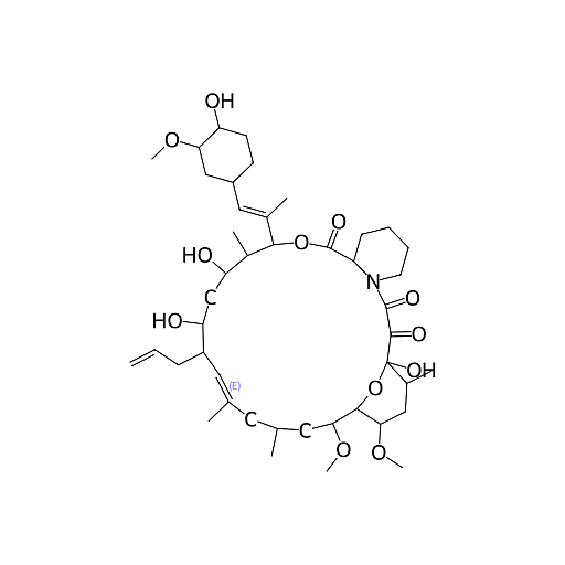 C=CCC1/C=C(\C)CC(C)CC(OC)C2OC(O)(C(=O)C(=O)N3CCCCC3C(=O)OC(C(C)=CC3CCC(O)C(OC)C3)C(C)C(O)CC1O)C(C)CC2OC